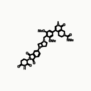 CNC(=O)N1CCc2c(-c3cc(OC)c(CN4CCC5C4CN5c4ccc5c(c4)C(=O)N(C4CCC(=O)NC4=O)C5=O)c(OC)c3)cn(C)c(=O)c2C1